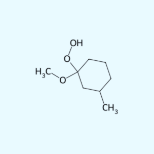 COC1(OO)CCCC(C)C1